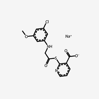 COc1cc(Cl)cc(NCC(=O)Sc2ncccc2C(=O)[O-])c1.[Na+]